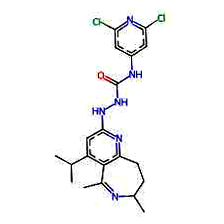 CC1=NC(C)CCc2nc(NNC(=O)Nc3cc(Cl)nc(Cl)c3)cc(C(C)C)c21